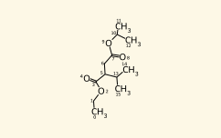 CCOC(=O)C(CC(=O)OC(C)C)C(C)C